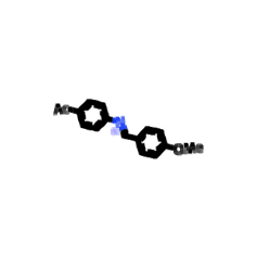 COc1ccc(/C=N/c2ccc(C(C)=O)cc2)cc1